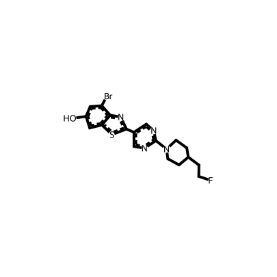 Oc1cc(Br)c2nc(-c3cnc(N4CCC(CCF)CC4)nc3)sc2c1